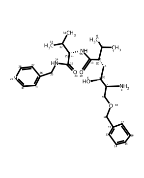 CC(C)[C@H](C[C@H](O)C(N)COCc1ccccc1)C(=O)N[C@H](C(=O)NCc1ccncc1)C(C)C